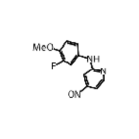 COc1ccc(Nc2cc(N=O)ccn2)cc1F